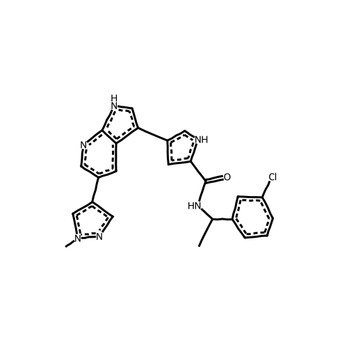 CC(NC(=O)c1cc(-c2c[nH]c3ncc(-c4cnn(C)c4)cc23)c[nH]1)c1cccc(Cl)c1